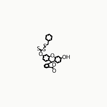 O=C1OC2(c3ccc(O)cc3Oc3cc(OC(=S)SSCc4ccccc4)ccc32)c2ccccc21